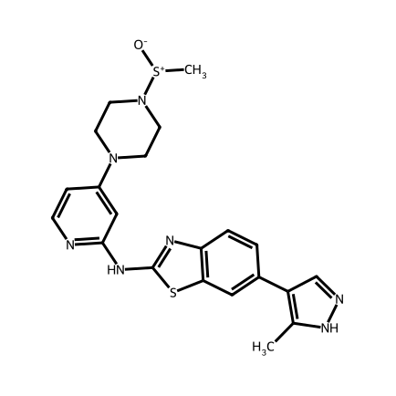 Cc1[nH]ncc1-c1ccc2nc(Nc3cc(N4CCN([S+](C)[O-])CC4)ccn3)sc2c1